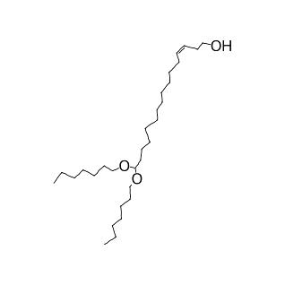 CCCCCCCOC(CCCCCCCCCCC/C=C\CCO)OCCCCCCC